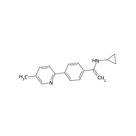 C=C(NC1CC1)c1ccc(-c2ccc(C)cn2)cc1